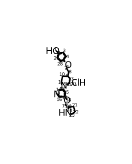 Cl.Oc1ccc(OCCC2CCN(c3cncc(OC[C@@H]4CCCN4)c3)CC2)cc1